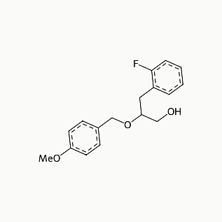 COc1ccc(COC(CO)Cc2ccccc2F)cc1